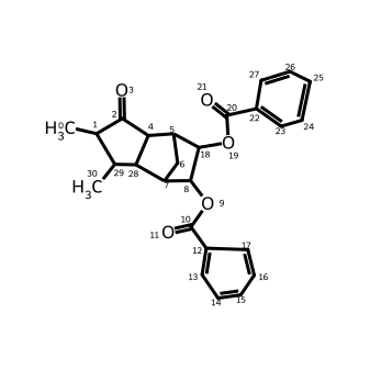 CC1C(=O)C2C3CC(C(OC(=O)c4ccccc4)C3OC(=O)c3ccccc3)C2C1C